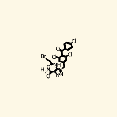 NC(=O)c1nnn(Cc2cc(Cl)c(C(=O)c3ccc(Cl)cc3)c(Cl)c2)c1NC(=O)CCBr